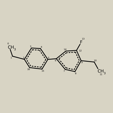 CCc1ccc(-c2ccc(CC)c(F)c2)cc1